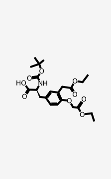 CCOC(=O)COc1ccc(C[C@H](NC(=O)OC(C)(C)C)C(=O)O)cc1CC(=O)OCC